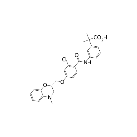 CN1C[C@@H](COc2ccc(C(=O)Nc3cccc(C(C)(C)C(=O)O)c3)c(Cl)c2)Oc2ccccc21